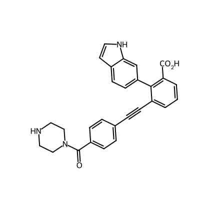 O=C(O)c1cccc(C#Cc2ccc(C(=O)N3CCNCC3)cc2)c1-c1ccc2cc[nH]c2c1